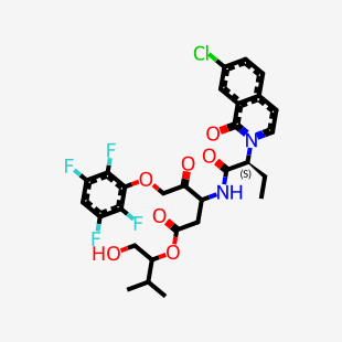 CC[C@@H](C(=O)NC(CC(=O)OC(CO)C(C)C)C(=O)COc1c(F)c(F)cc(F)c1F)n1ccc2ccc(Cl)cc2c1=O